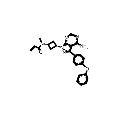 C=CC(=O)N(C)[C@H]1C[C@@H](n2nc(-c3ccc(Oc4ccccc4)cc3)c3c(N)ncnc32)C1